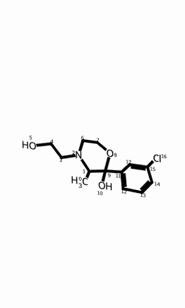 CC1N(CCO)CCOC1(O)c1cccc(Cl)c1